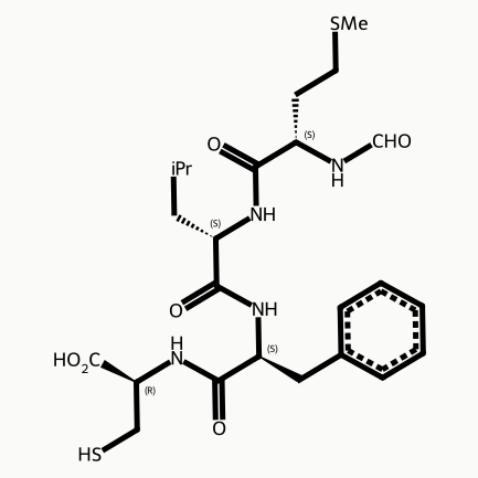 CSCC[C@H](NC=O)C(=O)N[C@@H](CC(C)C)C(=O)N[C@@H](Cc1ccccc1)C(=O)N[C@@H](CS)C(=O)O